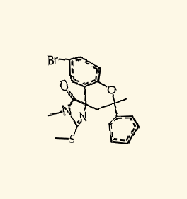 CSC1=NC2(CC(C)(c3ccccc3)Oc3ccc(Br)cc32)C(=O)N1C